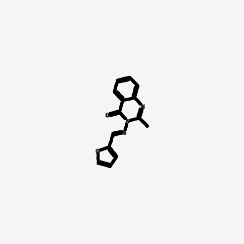 Cc1nc2ccccc2c(=O)n1N=Cc1ccco1